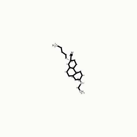 CCCCC[C@]1(C#N)CCC2C(CCC3C[C@H](OCC)CCC32)C1